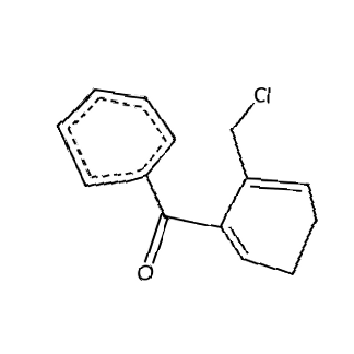 O=C(C1=CCCC=C1CCl)c1ccccc1